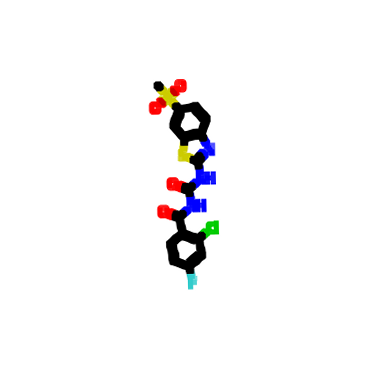 CS(=O)(=O)c1ccc2nc(NC(=O)NC(=O)c3ccc(F)cc3Cl)sc2c1